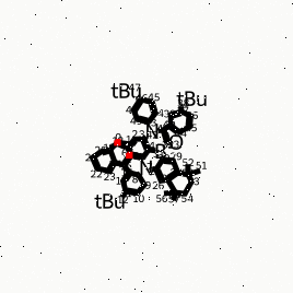 Cc1cc2c3c(c1)N(C1CC=C(C(C)(C)C)C=C1c1cccc4ccccc14)c1cc4c(cc1B3c1oc3ccc(C(C)(C)C)cc3c1N2c1ccc(C(C)(C)C)cc1)C(C)(C)CCC4(C)C